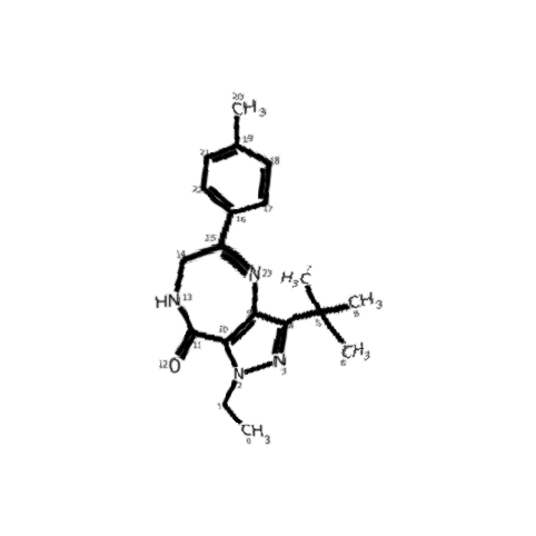 CCn1nc(C(C)(C)C)c2c1C(=O)NCC(c1ccc(C)cc1)=N2